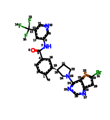 Cc1ccc(C(=O)Nc2cncc(C(F)(F)F)c2)cc1[C@@H]1CCN(c2ncnc3cc(Br)sc23)C1